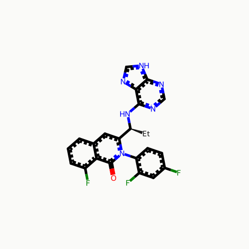 CC[C@H](Nc1ncnc2[nH]cnc12)c1cc2cccc(F)c2c(=O)n1-c1ccc(F)cc1F